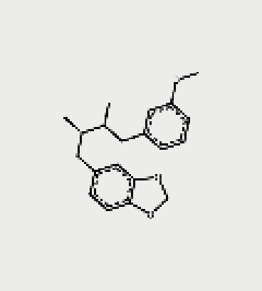 COc1cccc(CC(C)[C@H](C)Cc2ccc3c(c2)OCO3)c1